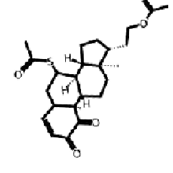 CC(=O)OCC[C@H]1CC[C@H]2[C@@H]3C(SC(C)=O)CC4C=CC(=O)C(=O)[C@]4(C)[C@H]3CC[C@]12C